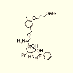 COCCCOc1cc(COC[C@H](N)[C@@H](O)C[C@H](C(=O)N[C@@H](C)[C@H](O)c2ccccc2)C(C)C)ccc1C